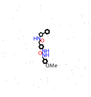 COc1ccc(CNC(=O)Nc2ccc(CC(=O)NC3CCC(c4ccccc4)C3)cc2)cc1